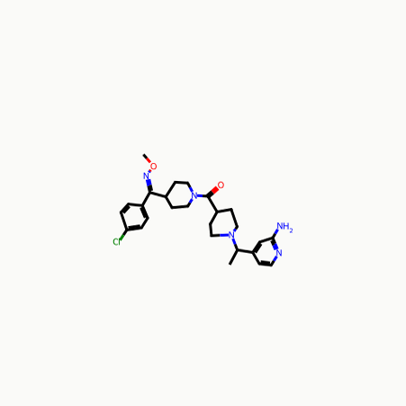 CON=C(c1ccc(Cl)cc1)C1CCN(C(=O)C2CCN(C(C)c3ccnc(N)c3)CC2)CC1